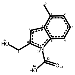 Cc1cccc2c1cc(CO)n2C(=O)O